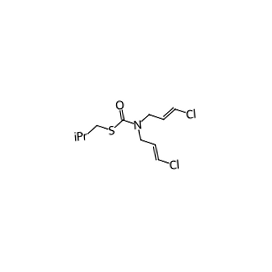 CC(C)CSC(=O)N(CC=CCl)CC=CCl